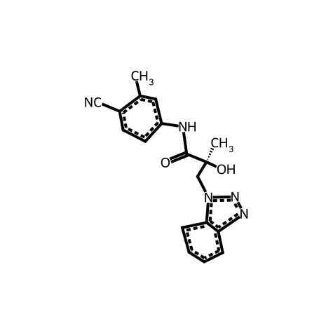 Cc1cc(NC(=O)[C@@](C)(O)Cn2nnc3ccccc32)ccc1C#N